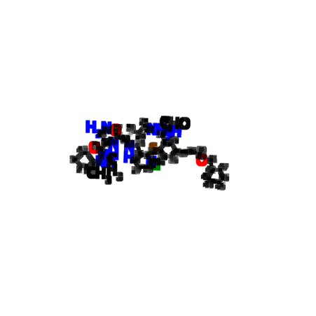 Cc1ccccc1NN(C)C(=O)[C@H](CN)NC(=O)[C@H](CCCN)NCc1cccnc1Sc1c(Cl)cc(C#CCOCc2ccccc2)cc1CNC=O